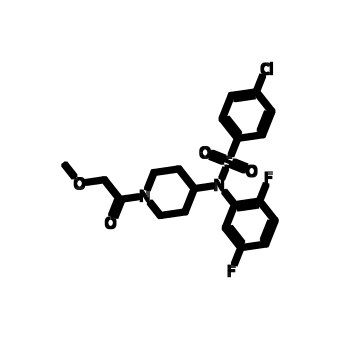 COCC(=O)N1CCC(N(c2cc(F)ccc2F)S(=O)(=O)c2ccc(Cl)cc2)CC1